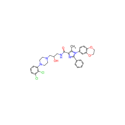 Cc1c(C(=O)NCC(O)CN2CCN(c3cccc(Cl)c3Cl)CC2)nc(-c2ccccc2)n1-c1ccc2c(c1)OCCO2